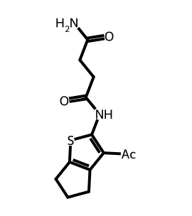 CC(=O)c1c(NC(=O)CCC(N)=O)sc2c1CCC2